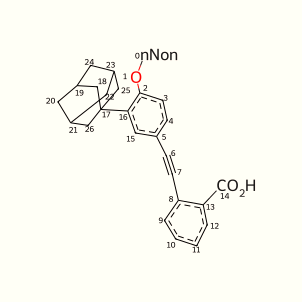 CCCCCCCCCOc1ccc(C#Cc2ccccc2C(=O)O)cc1C12CC3CC(CC(C3)C1)C2